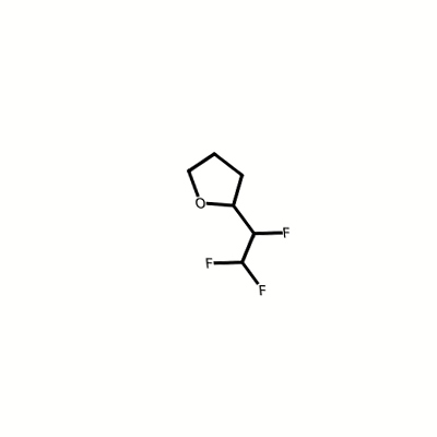 F[C](C(F)F)C1CCCO1